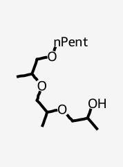 CCCCCOCC(C)OCC(C)OCC(C)O